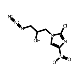 [N-]=[N+]=NCC(O)Cn1cc([N+](=O)[O-])nc1Cl